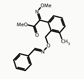 CO/N=C(/C(=O)OC)c1cccc(C)c1CO/N=C/c1ccccc1